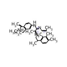 C=C(NC)c1ccc(NC(=N/C=C\C)/C(C)=N/CC(C)c2ccc(C)c(C)c2C)cc1CC